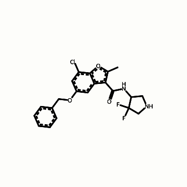 Cc1oc2c(Cl)cc(OCc3ccccc3)cc2c1C(=O)NC1CNCC1(F)F